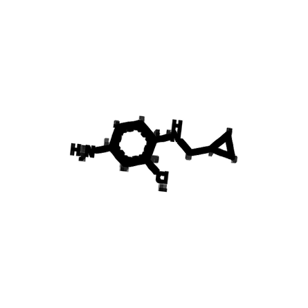 Nc1ccc(NCC2CC2)c(Cl)c1